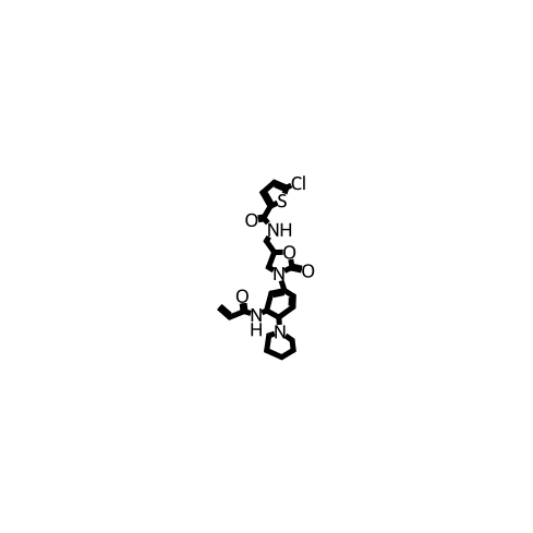 C=CC(=O)NC1C=C(N2CC(CNC(=O)c3ccc(Cl)s3)OC2=O)C=CC1N1CCCCC1